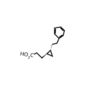 O=C(O)CC[C@@H]1C[C@H]1CCc1ccccc1